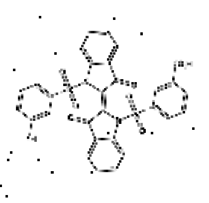 O=C(O)c1cccc(S(=O)(=O)N2/C(=C3\C(=O)c4ccccc4N3S(=O)(=O)c3cccc(S)c3)C(=O)c3ccccc32)c1